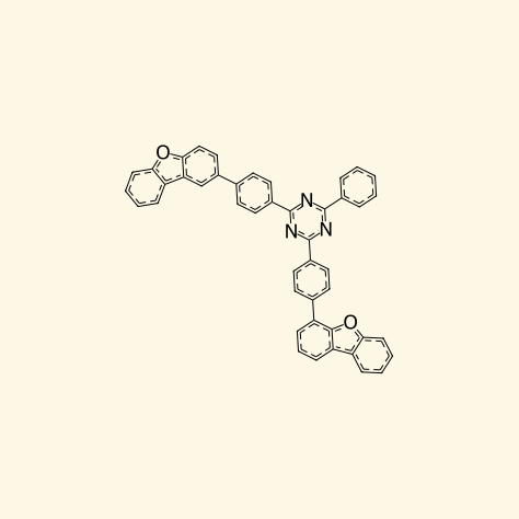 c1ccc(-c2nc(-c3ccc(-c4ccc5oc6ccccc6c5c4)cc3)nc(-c3ccc(-c4cccc5c4oc4ccccc45)cc3)n2)cc1